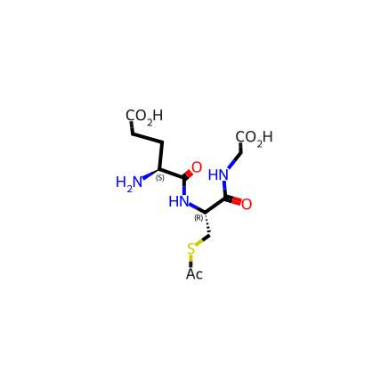 CC(=O)SC[C@H](NC(=O)[C@@H](N)CCC(=O)O)C(=O)NCC(=O)O